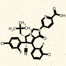 CC(C)(C)C[C@@H]1N2CN(c3ccc(C(=O)O)nc3)C(=O)C2=C(c2cccc(Cl)c2F)[C@@]1(C#N)c1ccc(Cl)cc1F